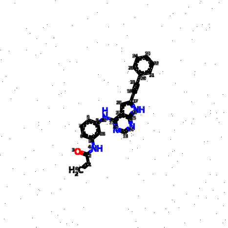 C=CC(=O)Nc1cccc(Nc2ncnc3[nH]c(C#Cc4ccccc4)cc23)c1